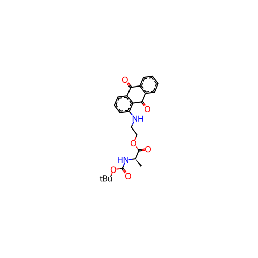 C[C@@H](NC(=O)OC(C)(C)C)C(=O)OCCNc1cccc2c1C(=O)c1ccccc1C2=O